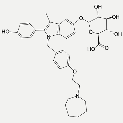 Cc1c(-c2ccc(O)cc2)n(Cc2ccc(OCCN3CCCCCC3)cc2)c2ccc(OC3O[C@H](C(=O)O)[C@@H](O)[C@H](O)[C@H]3O)cc12